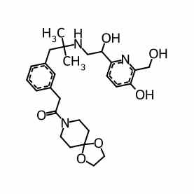 CC(C)(Cc1cccc(CC(=O)N2CCC3(CC2)OCCO3)c1)NCC(O)c1ccc(O)c(CO)n1